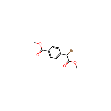 COC(=O)c1ccc(C(Br)C(=O)OC)cc1